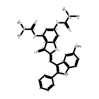 COc1ccc2[nH]c(-c3ccccc3)c(C=C3Oc4cc(OC(=O)N(C(C)C)C(C)C)cc(OC(=O)N(C(C)C)C(C)C)c4C3=O)c2c1